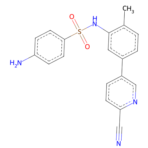 Cc1ccc(-c2ccc(C#N)nc2)cc1NS(=O)(=O)c1ccc(N)cc1